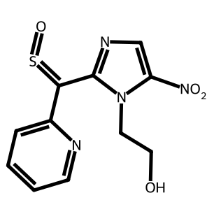 O=S=C(c1ccccn1)c1ncc([N+](=O)[O-])n1CCO